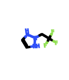 FC(F)(F)CN1NC=CN1